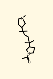 CC(=O)N1CCC(C(C)(C)CCC(C)(C)C2CCN(C)C2)C1